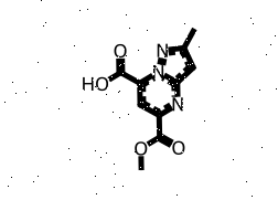 COC(=O)c1cc(C(=O)O)n2nc(C)cc2n1